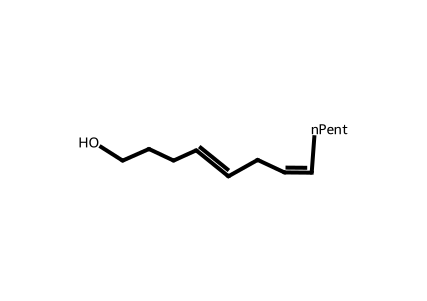 CCCCC/C=C\C/C=C/CCCO